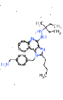 CCCCc1nc2c(NNC(C)(CC)CC)nc3ccccc3c2n1Cc1ccc(CN)cc1